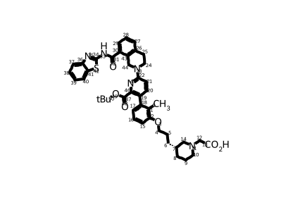 Cc1c(OCCC[C@H]2CCCN(CC(=O)O)C2)cccc1-c1ccc(N2CCc3cccc(C(=O)Nc4nc5ccccc5s4)c3C2)nc1C(=O)OC(C)(C)C